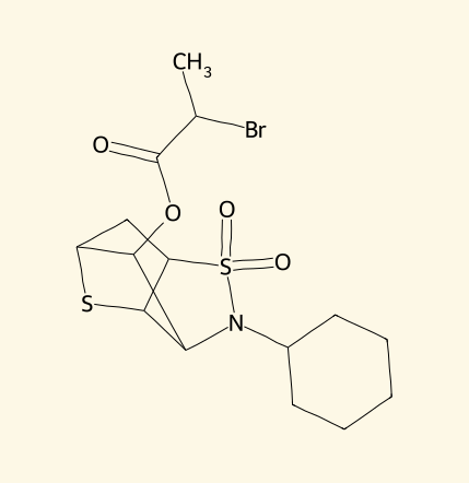 CC(Br)C(=O)OC1C2CC3C(S2)C1N(C1CCCCC1)S3(=O)=O